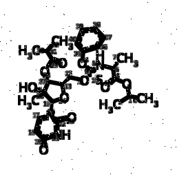 CC(C)OC(=O)[C@H](C)NP(=S)(OC[C@H]1O[C@@H](n2ccc(=O)[nH]c2=O)[C@](C)(O)[C@@H]1OC(=O)C(C)C)Oc1ccccc1